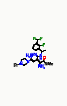 CNC(=O)/C(N)=C(/C=C(\N)N1CCN(C(C)C)CC1)C(=N)N[C@H](C)c1cccc(C(F)F)c1F